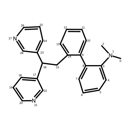 CN(C)c1ccccc1-c1ccccc1CC(c1cccnc1)c1cccnc1